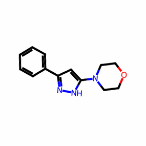 c1ccc(-c2cc(N3CCOCC3)[nH]n2)cc1